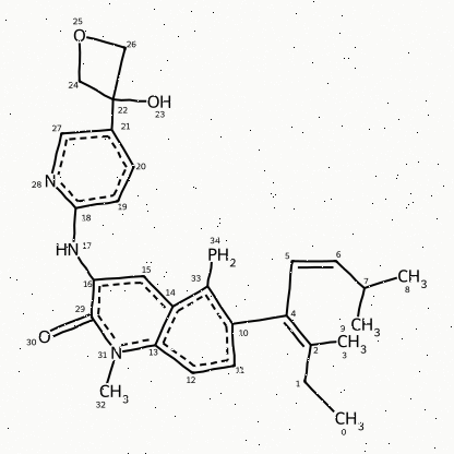 CC/C(C)=C(/C=C\C(C)C)c1ccc2c(cc(Nc3ccc(C4(O)COC4)cn3)c(=O)n2C)c1P